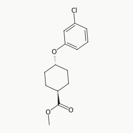 COC(=O)[C@H]1CC[C@H](Oc2cccc(Cl)c2)CC1